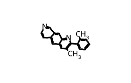 Cc1ccccc1-c1nc2cc3cnccc3cc2cc1C